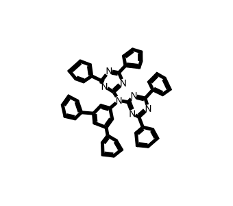 c1ccc(-c2cc(-c3ccccc3)cc(N(c3nc(-c4ccccc4)nc(-c4ccccc4)n3)c3nc(-c4ccccc4)nc(-c4ccccc4)n3)c2)cc1